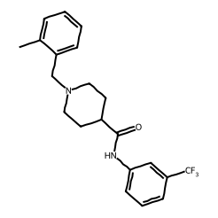 Cc1ccccc1CN1CCC(C(=O)Nc2cccc(C(F)(F)F)c2)CC1